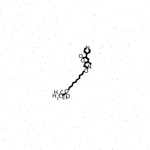 CCC(C)(C)C(=O)OCCCCCCCCCCOc1cc2oc(=O)c(-c3ccncc3)cc2cn1